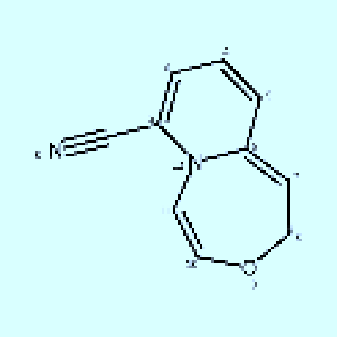 N#CC1=CC=CC2=CCOC=CN12